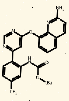 CC(C)(C)OC(=O)Nc1cc(C(F)(F)F)ccc1-c1cc(Oc2cccc3ccc(N)nc23)ncn1